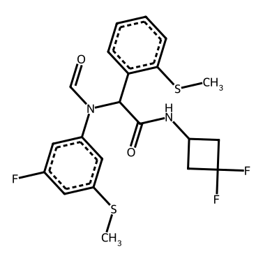 CSc1cc(F)cc(N(C=O)C(C(=O)NC2CC(F)(F)C2)c2ccccc2SC)c1